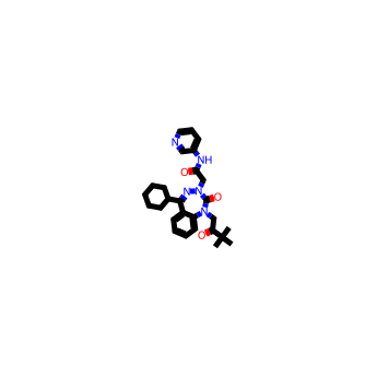 CC(C)(C)C(=O)CN1C(=O)N(CC(=O)Nc2cccnc2)N=C(C2CCCCC2)c2ccccc21